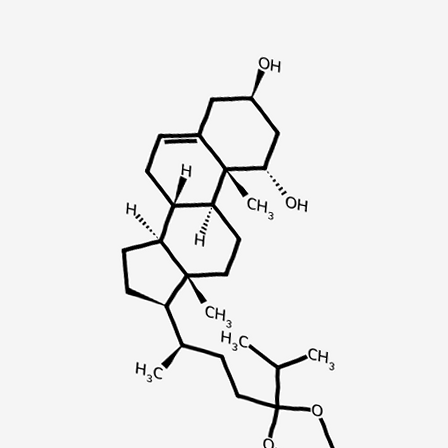 CC(C)C1(CC[C@@H](C)[C@H]2CC[C@H]3[C@@H]4CC=C5C[C@@H](O)C[C@H](O)[C@]5(C)[C@H]4CC[C@]23C)OCCO1